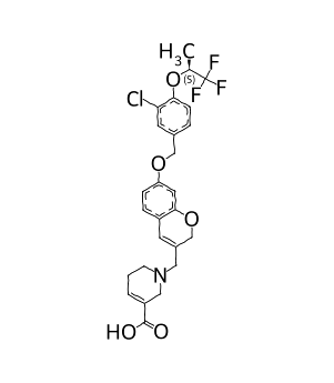 C[C@H](Oc1ccc(COc2ccc3c(c2)OCC(CN2CCC=C(C(=O)O)C2)=C3)cc1Cl)C(F)(F)F